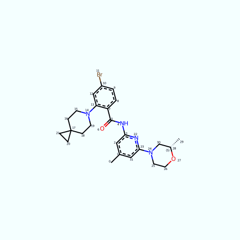 Cc1cc(NC(=O)c2ccc(Br)cc2N2CCC3(CC2)CC3)nc(N2CCO[C@@H](C)C2)c1